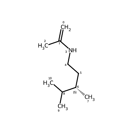 C=C(C)NCC[C@H](C)C(C)C